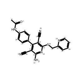 CC(=O)Nc1ccc(-c2c(C#N)c(N)nc(SCc3ccccn3)c2C#N)cc1